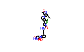 CCCc1cc(N2CCCc3cc(-c4ccc(C(=O)NCCC#Cc5cccc6c5CN(C5CCC(=O)NC5=O)C6=O)nc4)c(C(F)F)cc32)c2cc(C)c(=O)n(C)c2c1